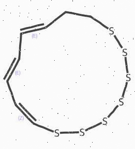 C1=C\SSSSSSSCC/C=C/C=C/1